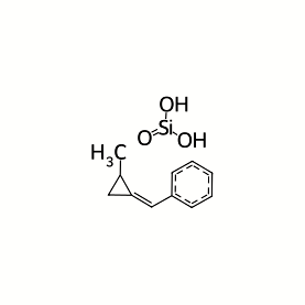 CC1CC1=Cc1ccccc1.O=[Si](O)O